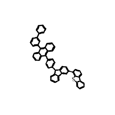 c1ccc(-c2cccc(-c3c4ccccc4c(-c4ccc(C5c6ccccc6-c6cc(-c7cccc8c7sc7ccccc78)ccc65)cc4)c4ccccc34)c2)cc1